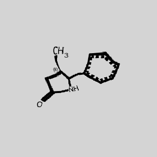 C[C@@H]1CC(=O)NC1c1ccccc1